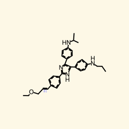 CCCNc1ccc(-c2[nH]c(-c3ccc(/C=C/COCC)cc3)nc2-c2ccc(NC(C)C)cc2)cc1